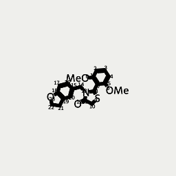 COc1cccc(OC)c1C1SCC(=O)N1Cc1ccc2c(c1)CCO2